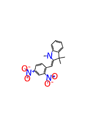 CN1C(=Cc2ccc([N+](=O)[O-])cc2[N+](=O)[O-])C(C)(C)c2ccccc21